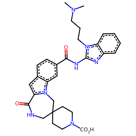 CN(C)CCCn1c(NC(=O)c2ccc3cc4n(c3c2)CC2(CCN(C(=O)O)CC2)CNC4=O)nc2ccccc21